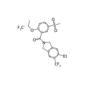 CCc1cc2c(cc1C(F)(F)F)CN(C(=O)c1cc(S(C)(=O)=O)ccc1O[C@@H](C)C(F)(F)F)C2